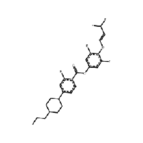 CCCC1CCC(c2ccc(C(=O)Oc3cc(F)c(O/C=C/C(F)F)c(F)c3)c(F)c2)CC1